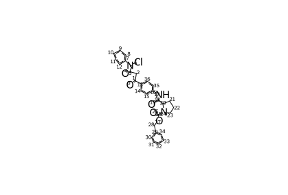 O=C(CC(=O)N(Cl)c1ccccc1)c1ccc(NC(=O)C2CCCN2C(=O)OCc2ccccc2)cc1